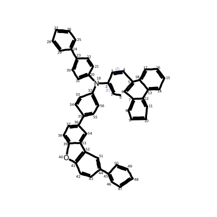 C/C=C(\C=C/c1cc2ccccc2c2ccccc12)N(c1ccc(-c2ccccc2)cc1)c1ccc(-c2ccc3oc4ccc(-c5ccccc5)cc4c3c2)cc1